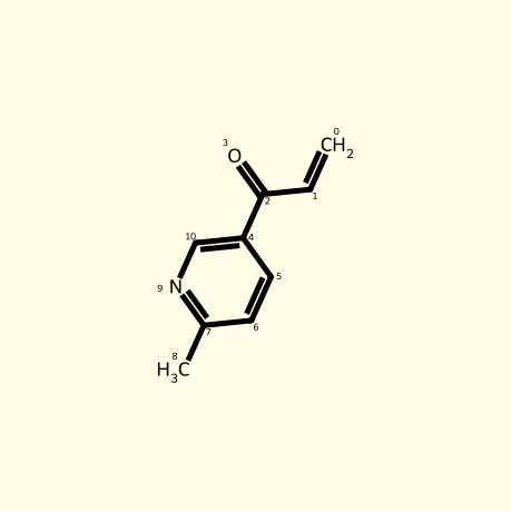 C=CC(=O)c1ccc(C)nc1